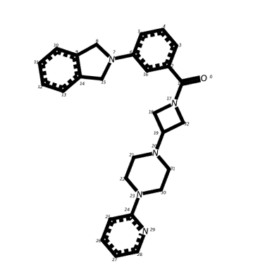 O=C(c1cccc(N2Cc3ccccc3C2)c1)N1CC(N2CCN(c3ccccn3)CC2)C1